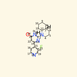 Cn1c(N2CCC[C@H]3CCCC[C@@H]32)nc(-c2ccncc2F)cc1=O